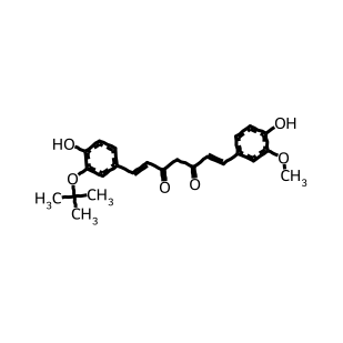 COc1cc(C=CC(=O)CC(=O)C=Cc2ccc(O)c(OC(C)(C)C)c2)ccc1O